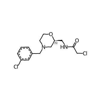 O=C(CCl)NC[C@H]1CN(Cc2cccc(Cl)c2)CCO1